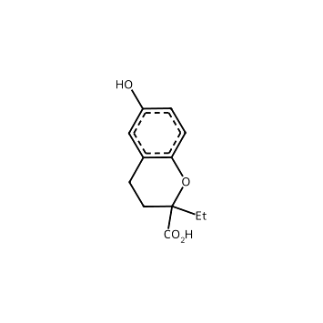 CCC1(C(=O)O)CCc2cc(O)ccc2O1